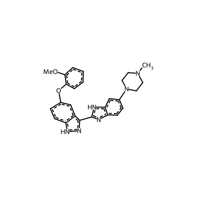 COc1ccccc1Oc1ccc2[nH]nc(-c3nc4ccc(N5CCN(C)CC5)cc4[nH]3)c2c1